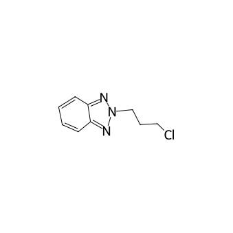 ClCCCn1nc2ccccc2n1